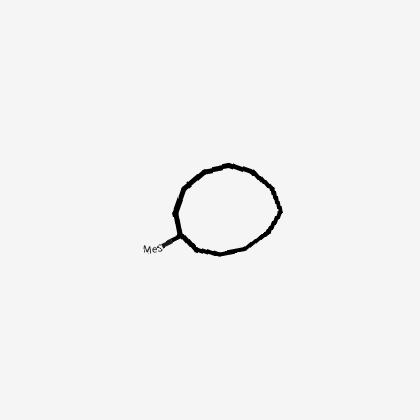 CSC1CCCCCCCCCCC1